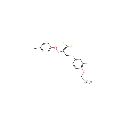 Cc1ccc(OCC(CSc2ccc(OCC(=O)O)c(C)c2)=C(F)F)cc1